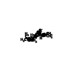 CC(C)c1ccc(N/C(=C/[N+](=O)[O-])N2CCc3nc(C(=O)Nc4cc(C(C)C)ccc4N)sc3C2)cc1